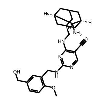 COc1ccc(CO)cc1CNc1ncc(C#N)c(NC[C@]23CC4C[C@H](C2)[C@@H](N)[C@@H](C4)C3)n1